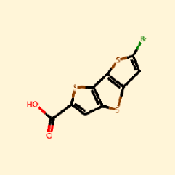 O=C(O)c1cc2sc3cc(Br)sc3c2s1